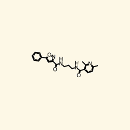 Cc1ccc(C(=O)NCCCNC(=O)c2cc(-c3ccccc3)on2)c(C)n1